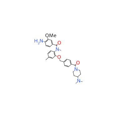 COc1cc(C(=O)N(C)c2ccc(C)cc2OCc2ccc(C(=O)N3CCC(N(C)C)CC3)cc2)ccc1N